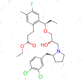 CCOC(=O)CCc1cc(C)c(F)cc1[C@@H](CC)OC[C@H](O)CN1CCC[C@H]1Cc1ccc(Cl)c(Cl)c1